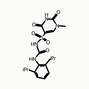 CC(C)c1cccc(C(C)C)c1NC(=O)NS(=O)(=O)c1cn(C)c(=O)[nH]c1=O